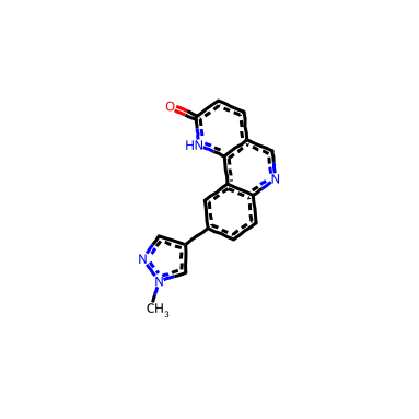 Cn1cc(-c2ccc3ncc4ccc(=O)[nH]c4c3c2)cn1